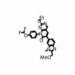 CCOc1ncc2cc(-c3ccc4nc(COC)n(C)c4c3)c(=O)n(-c3ccc(OC(F)F)cc3)c2n1